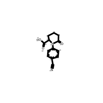 N#Cc1ccc(N2C(=O)CCCC2C(=O)O)cc1